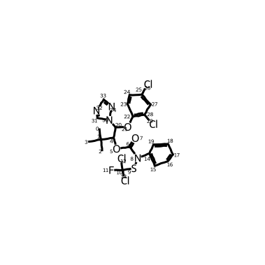 CC(C)(C)C(OC(=O)N(SC(F)(Cl)Cl)c1ccccc1)C(Oc1ccc(Cl)cc1Cl)n1cncn1